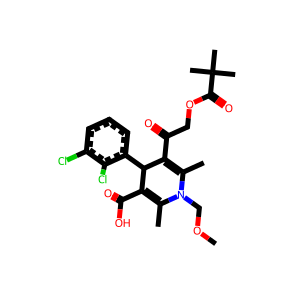 COCN1C(C)=C(C(=O)O)C(c2cccc(Cl)c2Cl)C(C(=O)COC(=O)C(C)(C)C)=C1C